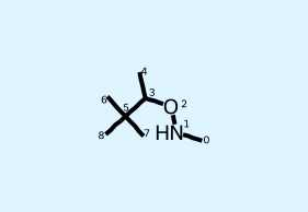 CNOC(C)C(C)(C)C